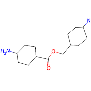 NC1CCC(COC(=O)C2CCC(N)CC2)CC1